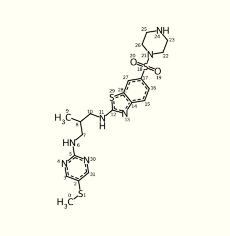 CSc1cnc(NCC(C)CNc2nc3ccc(S(=O)(=O)N4CCNCC4)cc3s2)nc1